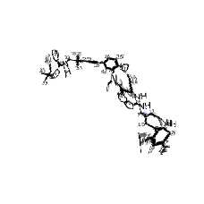 CN1C(=O)[C@@H](NC(=O)N/C=C(\C=N)Cc2ccc(F)cc2F)COc2ccc(C#CC(C)(C)CNC(=O)OC(C)(C)C)cc21